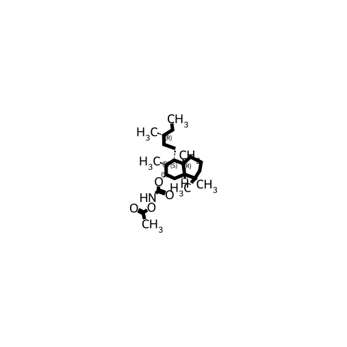 CC[C@@H](C)CC[C@H]1[C@@H](C)[C@@H](OC(=O)NOC(C)=O)C[C@H]2C(C)(C)CCC[C@]12C